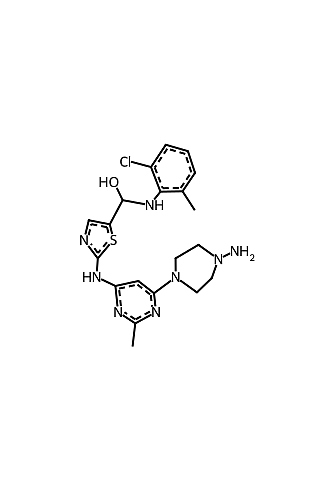 Cc1nc(Nc2ncc(C(O)Nc3c(C)cccc3Cl)s2)cc(N2CCN(N)CC2)n1